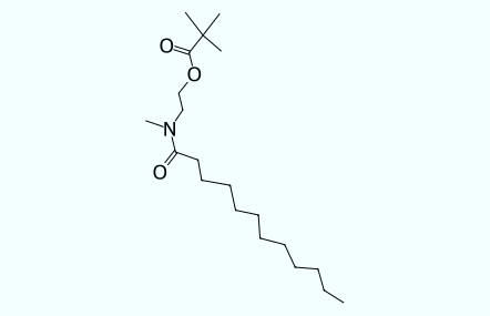 CCCCCCCCCCCC(=O)N(C)CCOC(=O)C(C)(C)C